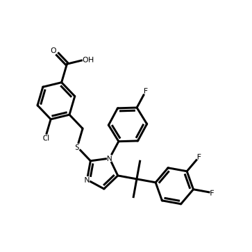 CC(C)(c1ccc(F)c(F)c1)c1cnc(SCc2cc(C(=O)O)ccc2Cl)n1-c1ccc(F)cc1